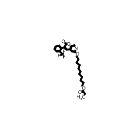 CCC(=O)OCCCCCCCCCCCOc1cc2cc(-c3ccccc3C(F)(F)F)c(=O)oc2cn1